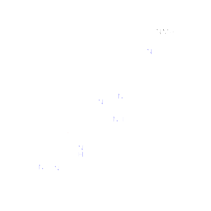 C=C(Cn1cccn1)C(=O)Nc1ccc(Nc2nc3cc(Oc4ccnc(C(=O)NC)c4)ccc3[nH]2)cc1C(F)(F)F